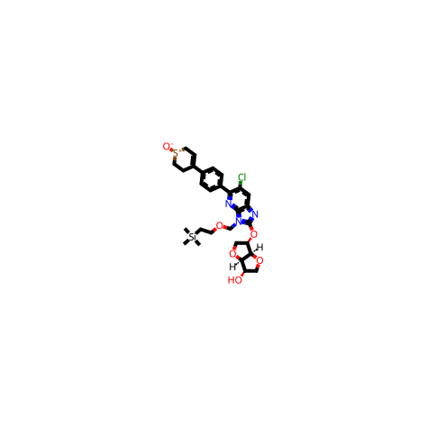 C[Si](C)(C)CCOCn1c(O[C@@H]2CO[C@H]3[C@@H]2OC[C@H]3O)nc2cc(Cl)c(-c3ccc(C4=CC[S+]([O-])CC4)cc3)nc21